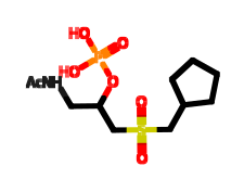 CC(=O)NCC(CS(=O)(=O)CC1CCCC1)OP(=O)(O)O